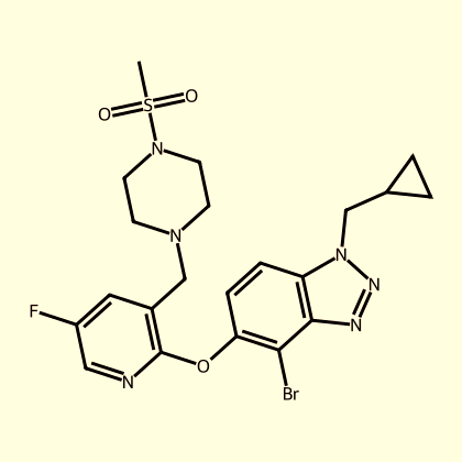 CS(=O)(=O)N1CCN(Cc2cc(F)cnc2Oc2ccc3c(nnn3CC3CC3)c2Br)CC1